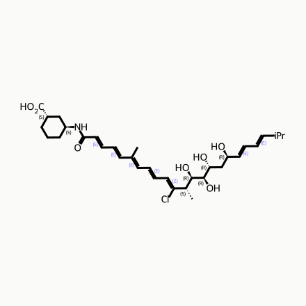 CC(/C=C/C=C/C(=O)N[C@H]1CCC[C@H](C(=O)O)C1)=C\C=C\C=C(/Cl)[C@@H](C)[C@@H](O)[C@H](O)[C@H](O)C[C@@H](O)/C=C/C=C/C(C)C